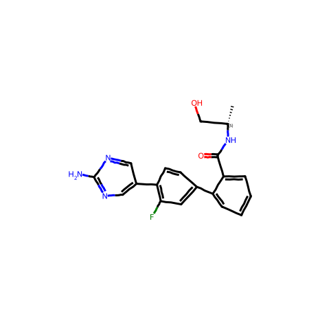 C[C@@H](CO)NC(=O)c1ccccc1-c1ccc(-c2cnc(N)nc2)c(F)c1